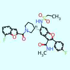 CCS(=O)(=O)Nc1cc2oc(-c3ccc(F)cc3)c(C(=O)NC)c2cc1[C@H]1CCCN(C(=O)c2cc3cccc(F)c3o2)C1